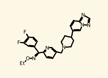 CCON=C(c1ccc(F)c(F)c1)c1ccc(CN2CCC(c3ccc4ncnn4c3)CC2)cn1